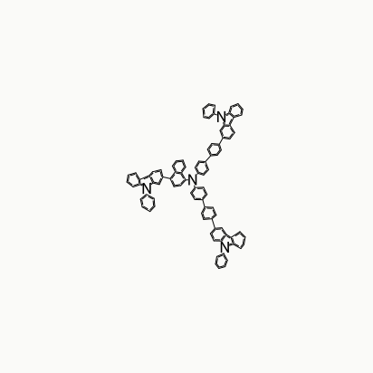 c1ccc(-n2c3ccccc3c3cc(-c4ccc(-c5ccc(N(c6ccc(-c7ccc(-c8ccc9c%10ccccc%10n(-c%10ccccc%10)c9c8)cc7)cc6)c6ccc(-c7ccc8c9ccccc9n(-c9ccccc9)c8c7)c7ccccc67)cc5)cc4)ccc32)cc1